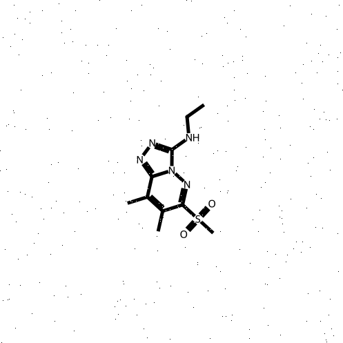 CCNc1nnc2c(C)c(C)c(S(C)(=O)=O)nn12